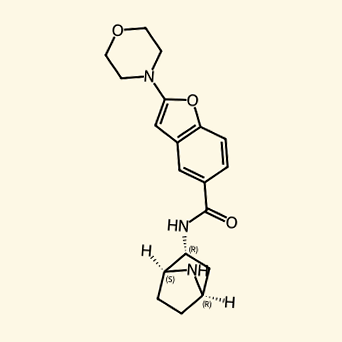 O=C(N[C@@H]1C[C@H]2CC[C@@H]1N2)c1ccc2oc(N3CCOCC3)cc2c1